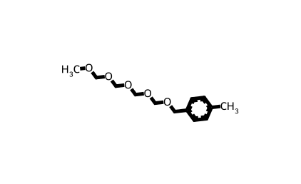 COCOCOCOCOCc1ccc(C)cc1